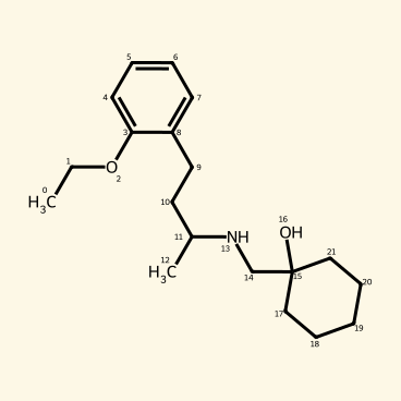 CCOc1ccccc1CCC(C)NCC1(O)CCCCC1